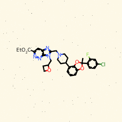 CCOC(=O)c1cc2nc(CN3CCC(c4cccc5c4OC(C)(c4ccc(Cl)cc4F)O5)CC3)n(CC3CCO3)c2nn1